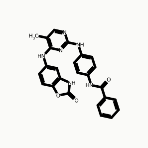 Cc1cnc(Nc2ccc(NC(=O)c3ccccc3)cc2)nc1Nc1ccc2oc(=O)[nH]c2c1